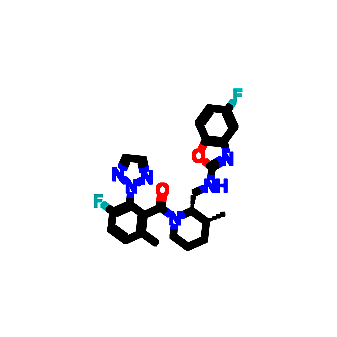 Cc1ccc(F)c(-n2nccn2)c1C(=O)N1CCC[C@@H](C)[C@H]1CNc1nc2cc(F)ccc2o1